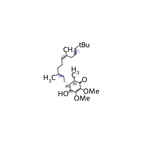 COC1=C(OC)[C@H](O)[C@H](C/C=C(\C)CC/C=C(/C)C/C=C/C(C)(C)C)[C@@H](C)C1=O